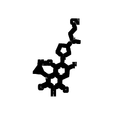 COc1c(N2CCC(N(C)CCC#N)C2)c(F)cc2c(=O)[nH]c(=O)n(C3CC3)c12